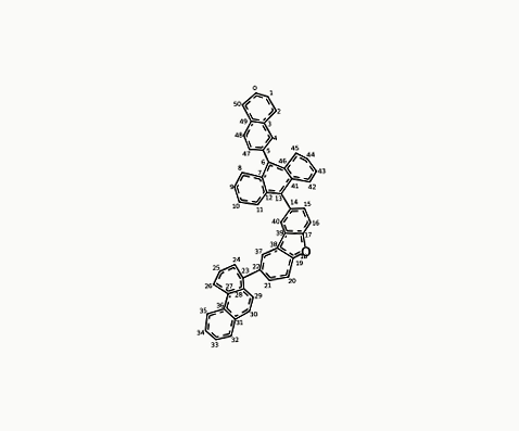 c1ccc2cc(-c3c4ccccc4c(-c4ccc5oc6ccc(-c7cccc8c7ccc7ccccc78)cc6c5c4)c4ccccc34)ccc2c1